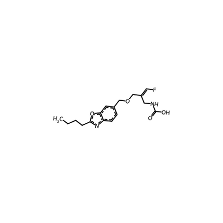 CCCCc1nc2ccc(COC/C(=C/F)CNC(=O)O)cc2o1